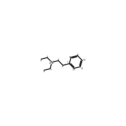 CCN(CC)CCc1[c]cccc1